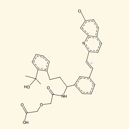 CC(C)(O)c1ccccc1CCC(NC(=O)COCC(=O)O)c1cccc(/C=C/c2ccc3ccc(Cl)cc3n2)c1